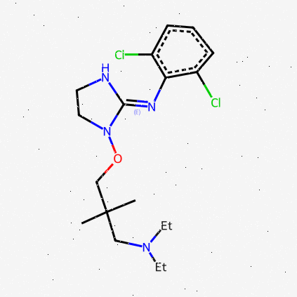 CCN(CC)CC(C)(C)CON1CCN/C1=N\c1c(Cl)cccc1Cl